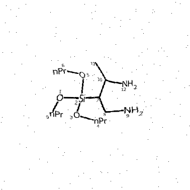 CCCO[Si](OCCC)(OCCC)C(CN)C(C)N